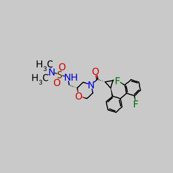 CN(C)S(=O)(=O)NC[C@@H]1CN(C(=O)[C@@H]2C[C@H]2c2ccccc2-c2c(F)cccc2F)CCO1